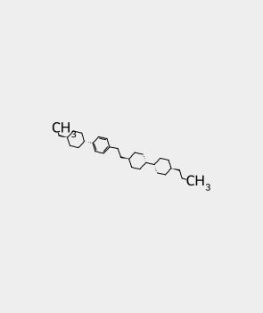 CCC[C@H]1CC[C@H]([C@H]2CC[C@H](CCc3ccc([C@H]4CC[C@H](CC)CC4)cc3)CC2)CC1